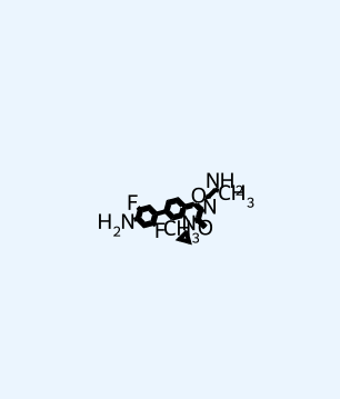 Cc1c(-c2cc(F)c(N)cc2F)ccc2c3oc(C(C)N)nc3c(=O)n(C3CC3)c12